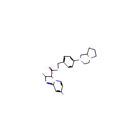 CCC1N=C2C=C(Cl)C=CN2C1C(=O)NCc1ccc(N2CCN3CCCC3C2)cc1